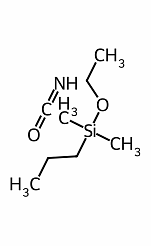 CCC[Si](C)(C)OCC.N=C=O